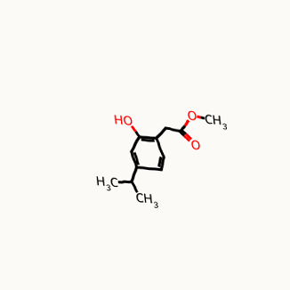 COC(=O)Cc1ccc(C(C)C)cc1O